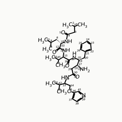 CC(C)CC(=O)N[C@@H](CC(C)C)C(=O)NC(C(=O)N[C@@H](Cc1ccccc1)[C@@H](N)CC(=O)NC(COc1cccnc1)C(C)C)C(C)C